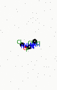 Cn1c(Nc2c(Cl)cccc2Cl)nc2cc(C(=O)Nc3cc(Cl)ccn3)c(F)cc21